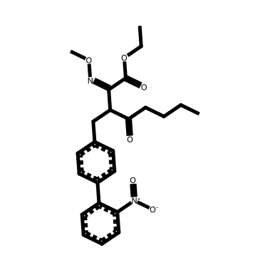 CCCCC(=O)C(Cc1ccc(-c2ccccc2[N+](=O)[O-])cc1)C(=NOC)C(=O)OCC